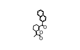 CC1=C2CCCC(C(=O)c3ccc4ccccc4c3)=C2OC1=O